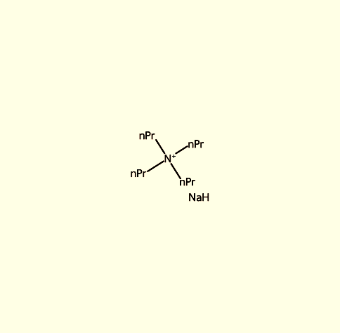 CCC[N+](CCC)(CCC)CCC.[NaH]